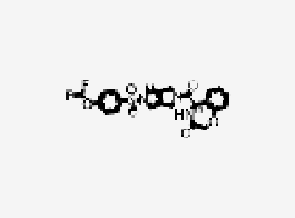 O=C1COc2ccccc2[C@H](C(=O)N2Cc3cn(S(=O)(=O)c4ccc(OC(F)F)cc4)nc3C2)N1